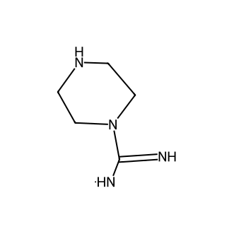 [NH]C(=N)N1CCNCC1